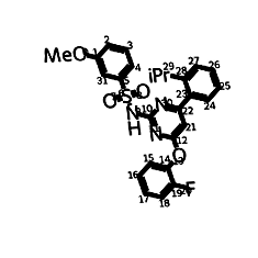 COc1cccc(S(=O)(=O)Nc2nc(Oc3ccccc3F)cc(-c3ccccc3C(C)C)n2)c1